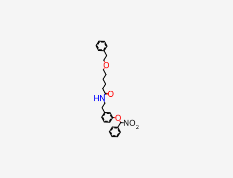 O=C(CCCCCOCCc1ccccc1)NCCc1cccc(OC(c2ccccc2)[N+](=O)[O-])c1